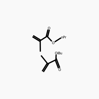 C=C(C)C(=O)OCC(C)C.C=C(C)C(=O)OCCC